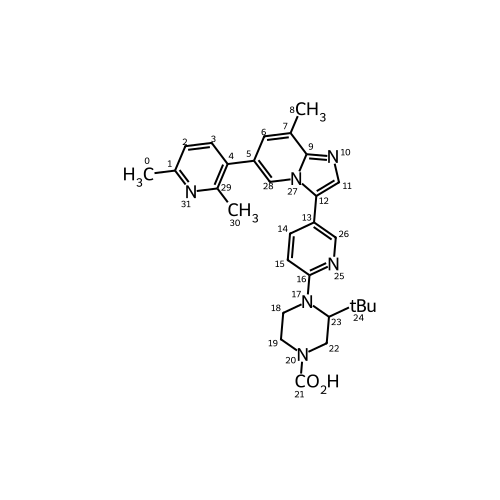 Cc1ccc(-c2cc(C)c3ncc(-c4ccc(N5CCN(C(=O)O)CC5C(C)(C)C)nc4)n3c2)c(C)n1